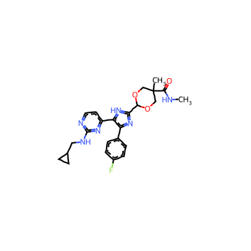 CNC(=O)C1(C)COC(c2nc(-c3ccc(F)cc3)c(-c3ccnc(NCC4CC4)n3)[nH]2)OC1